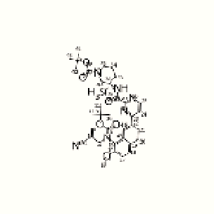 C=C(C#N)CN(C(=O)OC(C)(C)C)c1c(OC)ccc2ccc(-c3ccnc(C(=O)N[C@]4([SiH3])CCCN(C(=O)OC(C)(C)C)C4)n3)cc12